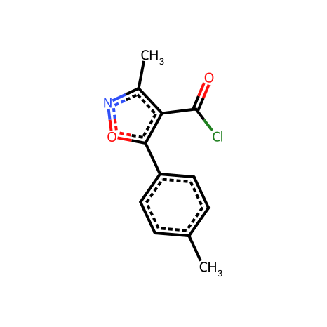 Cc1ccc(-c2onc(C)c2C(=O)Cl)cc1